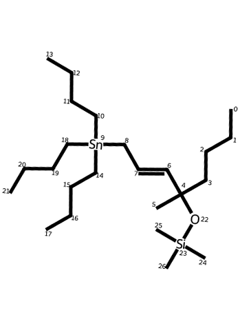 CCCCC(C)(C=C[CH2][Sn]([CH2]CCC)([CH2]CCC)[CH2]CCC)O[Si](C)(C)C